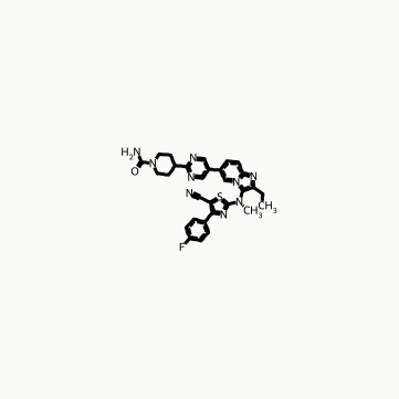 CCc1nc2ccc(-c3cnc(C4CCN(C(N)=O)CC4)nc3)cn2c1N(C)c1nc(-c2ccc(F)cc2)c(C#N)s1